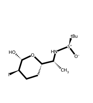 C[C@@H](N[S@+]([O-])C(C)(C)C)[C@@H]1CC[C@@H](I)[C@H](O)O1